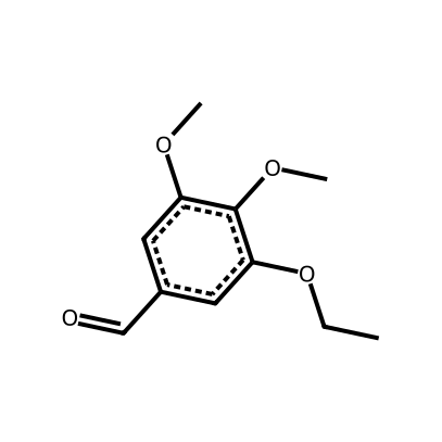 CCOc1cc(C=O)cc(OC)c1OC